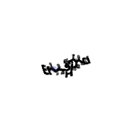 CC/C=C/CC[SiH]1CCC(CCCl)CC1